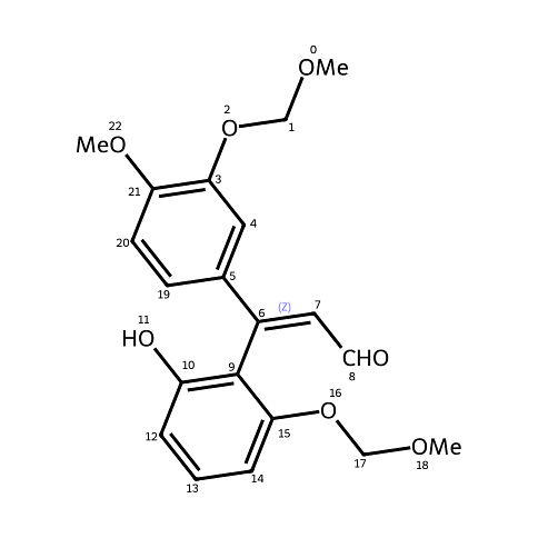 COCOc1cc(/C(=C/C=O)c2c(O)cccc2OCOC)ccc1OC